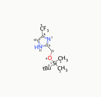 CC(C)(C)[Si](C)(C)OCc1nc(C(F)(F)F)c[nH]1